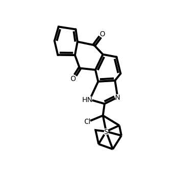 O=C1c2ccccc2C(=O)c2c1ccc1nc(C3(Cl)C4C5C6C7CS76543)[nH]c21